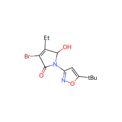 CCC1=C(Br)C(=O)N(c2cc(C(C)(C)C)on2)C1O